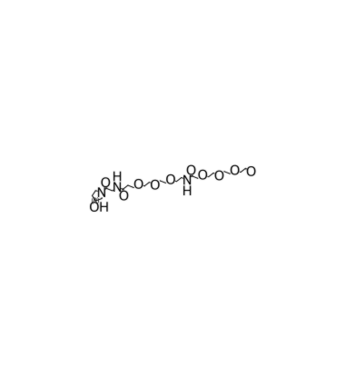 O=CCOCCOCCOCC(=O)NCCOCCOCCOCCC(=O)NCC(=O)N1CC[C@@H](O)C1